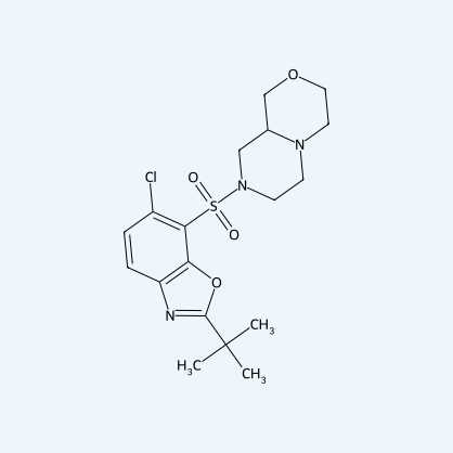 CC(C)(C)c1nc2ccc(Cl)c(S(=O)(=O)N3CCN4CCOCC4C3)c2o1